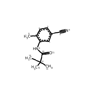 Cc1ccc(C#N)cc1NC(=O)C(C)(C)C